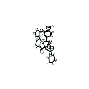 COc1ccc(C2=NOC(CC(=O)N3CCCCC3)(C(=O)N3CCCCC3)C2)cc1OC1CCCC1